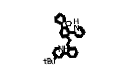 CC(C)(C)C1=CCNC(c2ccccc2CCc2ccc3c(oc4ccccc43)c2C2C=CC=CN2)=C1